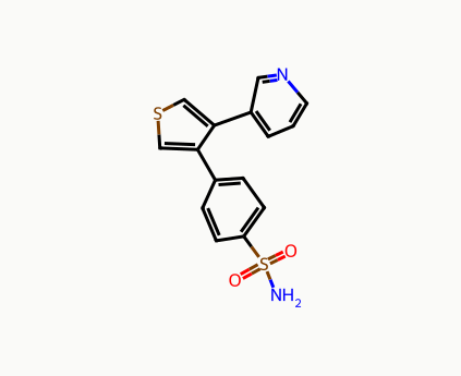 NS(=O)(=O)c1ccc(-c2cscc2-c2cccnc2)cc1